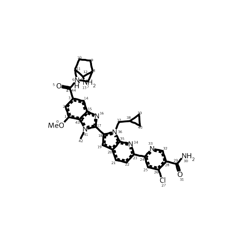 COc1cc(C(=O)N2CC3CCC2[C@@H]3N)cc2nc(-c3cc4ccc(-c5cc(Cl)c(C(N)=O)cn5)nc4n3CC3CC3)n(C)c12